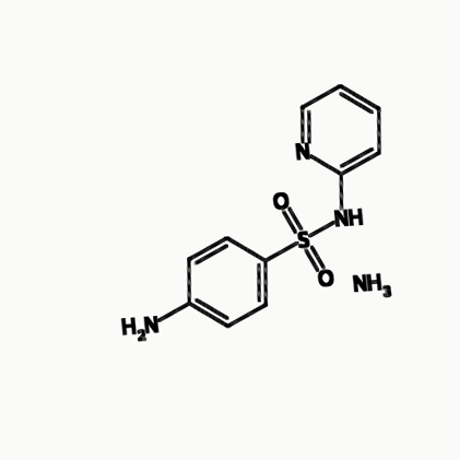 N.Nc1ccc(S(=O)(=O)Nc2ccccn2)cc1